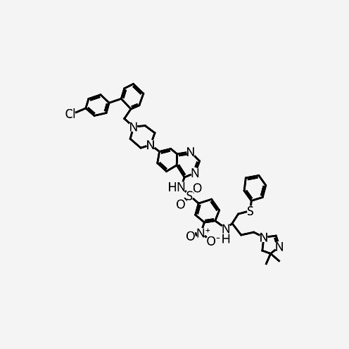 CC1(C)CN(CCC(CSc2ccccc2)Nc2ccc(S(=O)(=O)Nc3ncnc4cc(N5CCN(Cc6ccccc6-c6ccc(Cl)cc6)CC5)ccc34)cc2[N+](=O)[O-])C=N1